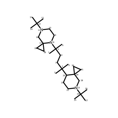 CC(C)(CCC(C)(C)N1CCN(C(C)(C)C)CC12CC2)C1CCN(C(C)(C)C)CC12CC2